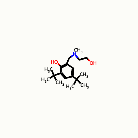 CN(CCO)Cc1cc(C(C)(C)C)cc(C(C)(C)C)c1O